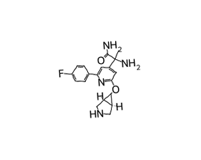 CC(N)(C(N)=O)c1cc(OC2[C@H]3CNC[C@@H]23)nc(-c2ccc(F)cc2)c1